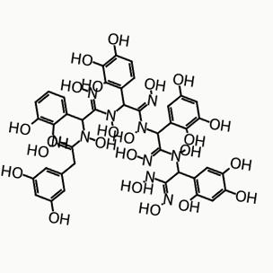 ON=C(NO)C(c1cc(O)c(O)cc1O)N(O)C(=NO)C(c1cc(O)cc(O)c1O)N(O)C(=NO)C(c1ccc(O)c(O)c1O)N(O)C(=NO)C(c1cccc(O)c1O)N(O)C(Cc1cc(O)cc(O)c1)=NO